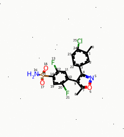 Cc1cc(-c2noc(C)c2-c2cc(F)c(S(N)(=O)=O)cc2F)ccc1Cl